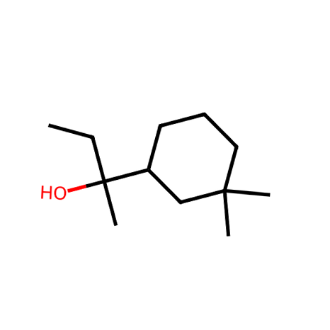 CCC(C)(O)C1CCCC(C)(C)C1